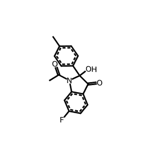 CC(=O)N1c2cc(F)ccc2C(=O)C1(O)c1ccc(C)cc1